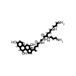 CC(CCC(=O)NCNC(=O)C(CCCNCCCN)NCCCN)C1CCC2C3C(C[C@H](O)[C@]12C)[C@@]1(C)CC[C@@H](O)CC1C[C@H]3O